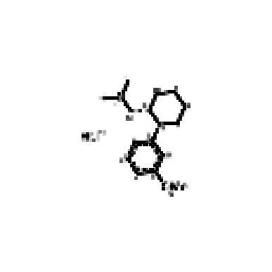 COc1cncc([C@@H]2CCCC[C@H]2CN(C)C)c1.Cl